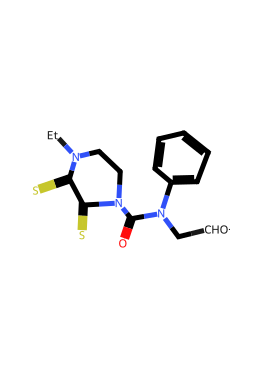 CCN1CCN(C(=O)N(C[C]=O)c2ccccc2)C(=S)C1=S